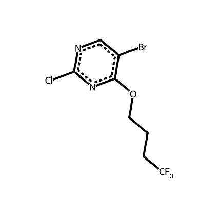 FC(F)(F)CCCOc1nc(Cl)ncc1Br